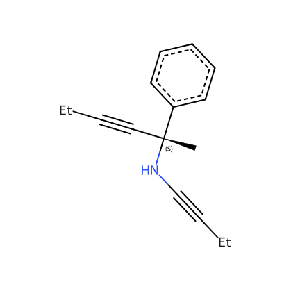 CCC#CN[C@](C)(C#CCC)c1ccccc1